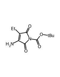 CCC1=C(N)C(=O)N(C(=O)OC(C)(C)C)C1=O